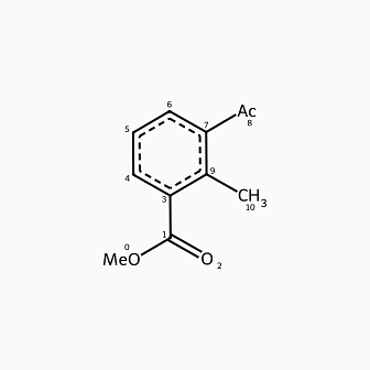 COC(=O)c1cccc(C(C)=O)c1C